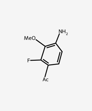 COc1c(N)ccc(C(C)=O)c1F